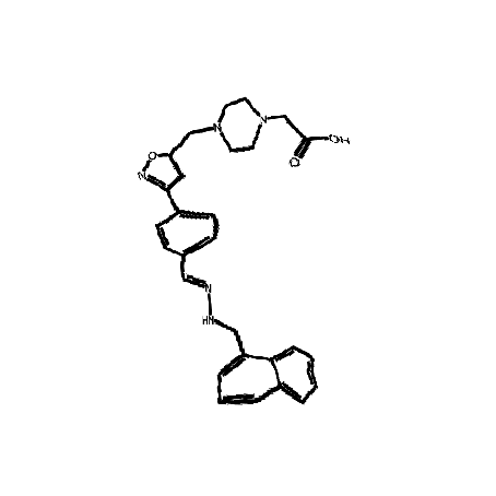 O=C(O)CN1CCN(CC2CC(c3ccc(C=NNCc4cccc5ccccc45)cc3)=NO2)CC1